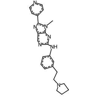 Cn1c(-c2ccncc2)nc2cnc(Nc3cccc(CCN4CCCC4)c3)nc21